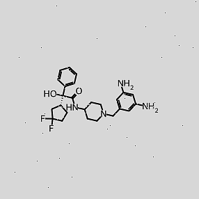 Nc1cc(N)cc(CN2CCC(NC(=O)C(O)(c3ccccc3)[C@@H]3CCC(F)(F)C3)CC2)c1